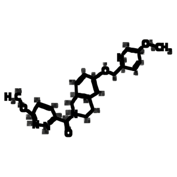 COc1ccc(COc2ccc3c(c2)CCN(C(=O)c2ccc(OC)nn2)C3)nc1